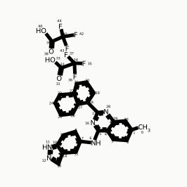 Cc1ccc2c(Nc3ccc4[nH]ncc4c3)nc(-c3cccc4ccccc34)nc2c1.O=C(O)C(F)(F)F.O=C(O)C(F)(F)F